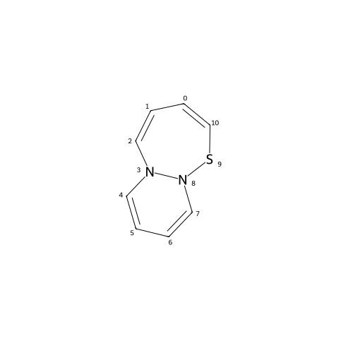 c1ccn2ccccn2sc1